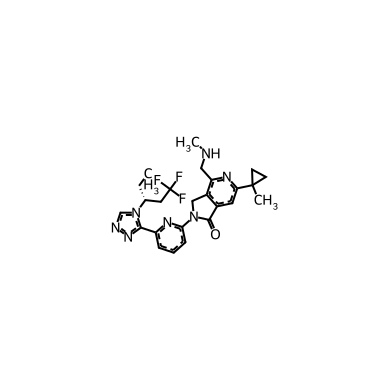 CC[C@H](CC(F)(F)F)n1cnnc1-c1cccc(N2Cc3c(cc(C4(C)CC4)nc3CNC)C2=O)n1